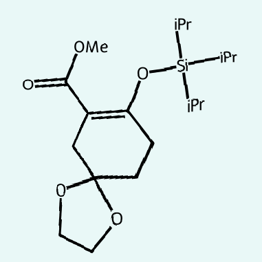 COC(=O)C1=C(O[Si](C(C)C)(C(C)C)C(C)C)CCC2(C1)OCCO2